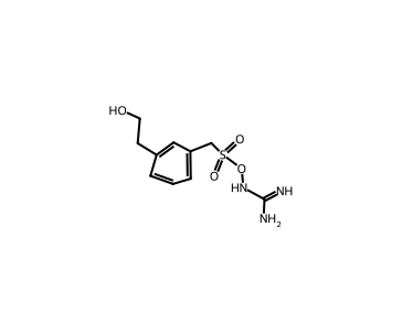 N=C(N)NOS(=O)(=O)Cc1cccc(CCO)c1